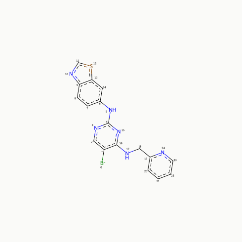 Brc1cnc(Nc2ccc3ncsc3c2)nc1NCc1ccccn1